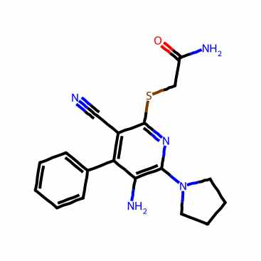 N#Cc1c(SCC(N)=O)nc(N2CCCC2)c(N)c1-c1ccccc1